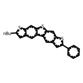 CCCCc1cc2cc3c(cc2s1)sc1cc2sc(-c4ccccc4)cc2cc13